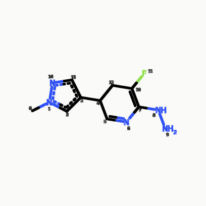 Cn1cc(C2C=NC(NN)=C(F)C2)cn1